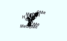 COc1ccc(-c2ccc(C(=O)N(Cc3cc(OC)c(OC)c(OC)c3)[C@@H](CCC(=O)O)C(N)=O)cc2)c(OC)c1